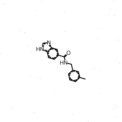 Cc1cccc(CNC(=O)c2ccc3[nH]cnc3c2)c1